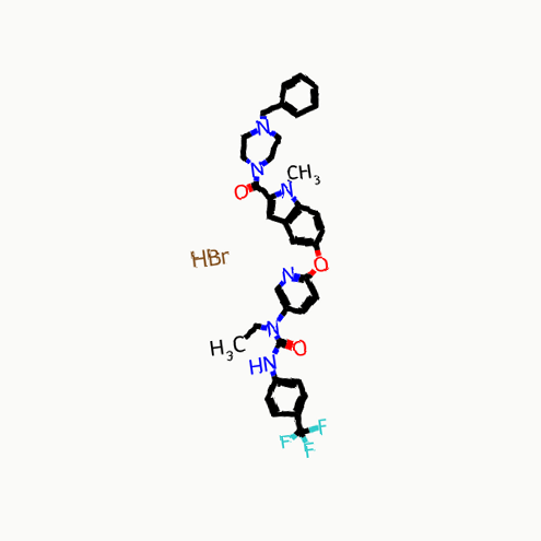 Br.CCN(C(=O)Nc1ccc(C(F)(F)F)cc1)c1ccc(Oc2ccc3c(c2)cc(C(=O)N2CCN(Cc4ccccc4)CC2)n3C)nc1